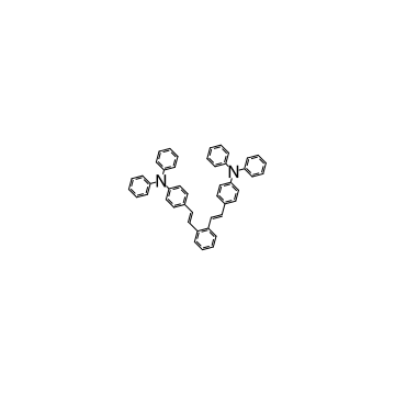 C(=Cc1ccccc1C=Cc1ccc(N(c2ccccc2)c2ccccc2)cc1)c1ccc(N(c2ccccc2)c2ccccc2)cc1